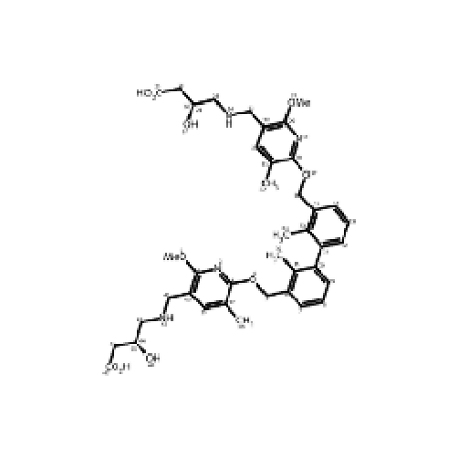 COc1nc(OCc2cccc(-c3cccc(COc4nc(OC)c(CNC[C@@H](O)CC(=O)O)cc4C)c3C)c2C)c(C)cc1CNC[C@@H](O)CC(=O)O